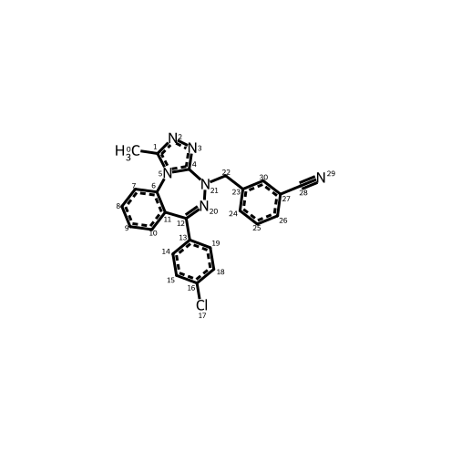 Cc1nnc2n1-c1ccccc1C(c1ccc(Cl)cc1)=NN2Cc1cccc(C#N)c1